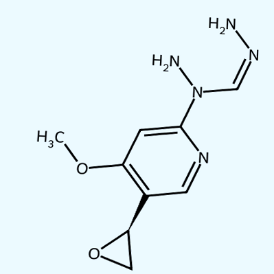 COc1cc(N(N)/C=N\N)ncc1[C@H]1CO1